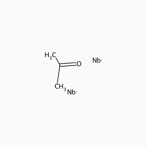 CC(C)=O.[Nb].[Nb]